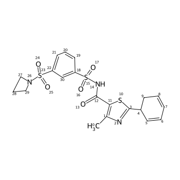 Cc1nc(C2C=CC=CC2)sc1C(=O)NS(=O)(=O)c1cccc(S(=O)(=O)N2CCC2)c1